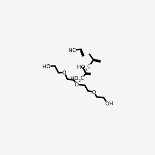 C=C(C)C(=O)O.C=C(C)C(=O)O.C=CC#N.OCCOCCOCCOCCO